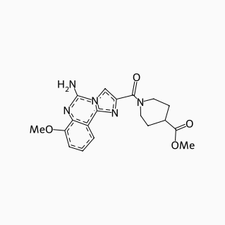 COC(=O)C1CCN(C(=O)c2cn3c(N)nc4c(OC)cccc4c3n2)CC1